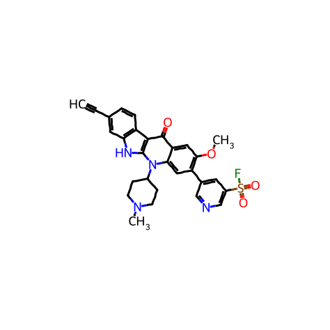 C#Cc1ccc2c(c1)[nH]c1c2c(=O)c2cc(OC)c(-c3cncc(S(=O)(=O)F)c3)cc2n1C1CCN(C)CC1